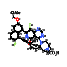 COCOc1cc(-c2nc3c4c(ncnc4c2F)N2CC4CCC(C2CCO3)N4C(=O)O)c2c(C#C[Si](C(C)C)(C(C)C)C(C)C)c(F)ccc2c1